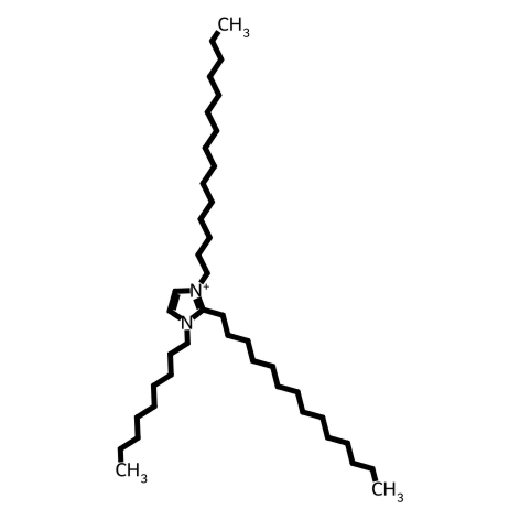 CCCCCCCCCCCCCCC[n+]1ccn(CCCCCCCCC)c1CCCCCCCCCCCCCC